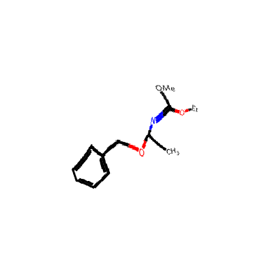 CCOC(=NC(C)OCc1ccccc1)OC